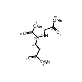 COC(=O)CC[C@H](NCC(=O)OC)C(=O)OC